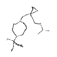 CC(C)OCC1(CN2CCC(C(F)(F)F)CC2)CC1